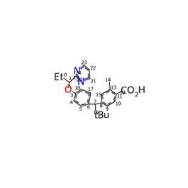 CCC(Oc1ccc(C(c2ccc(C(=O)O)c(C)c2)C(C)(C)C)cc1)c1ncccn1